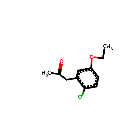 CCOc1ccc(Cl)c(CC(C)=O)c1